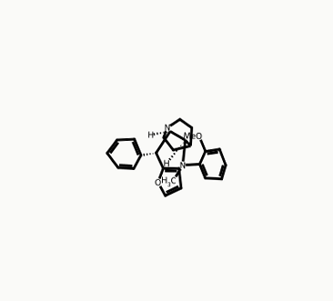 COc1ccccc1N(C)[C@@H]1C2CCN(CC2)[C@@H]1[C@@H](c1ccccc1)c1ccco1